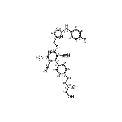 N#Cc1c(N)nc(SCc2csc(Nc3ccc(F)cc3)n2)c(C#N)c1-c1ccc(CC[C@H](O)CO)cc1